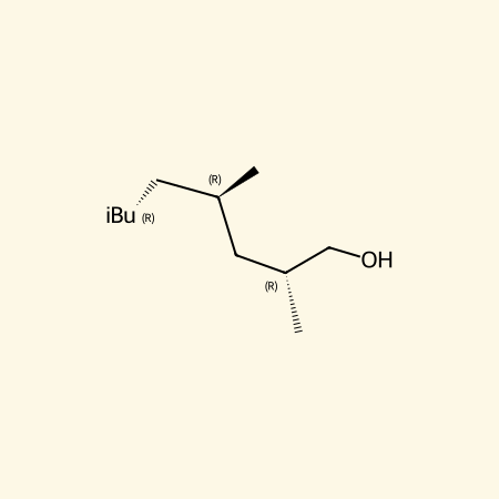 CC[C@@H](C)C[C@@H](C)C[C@@H](C)CO